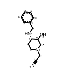 N#CCN1CC[C@H](NCc2ccccc2)[C@@H](O)C1